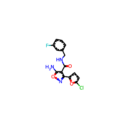 Nc1onc(-c2ccc(Cl)o2)c1C(=O)NCc1cccc(F)c1